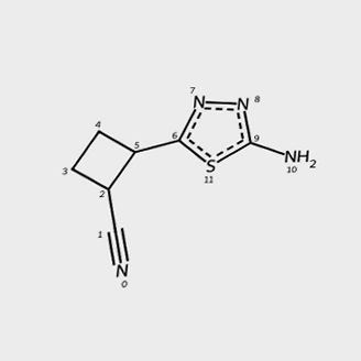 N#CC1CCC1c1nnc(N)s1